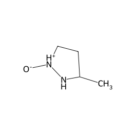 CC1CC[NH+]([O-])N1